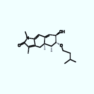 CC1=C2C[C@@]3(C)C(=C[C@@H](O)[C@H](OCCC(C)C)[C@@H]3C)C=C2N(C)C1=O